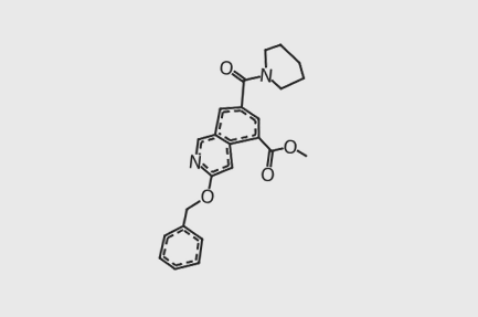 COC(=O)c1cc(C(=O)N2CCCCC2)cc2cnc(OCc3ccccc3)cc12